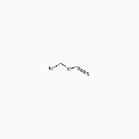 [CH2]CCOC=S